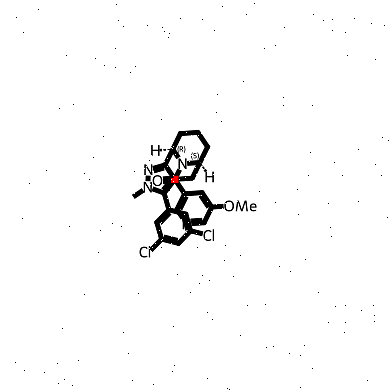 COc1cncc(C(=O)N2[C@H]3CCC[C@@H]2c2nn(C)c(-c4cc(Cl)cc(Cl)c4)c2C3)c1